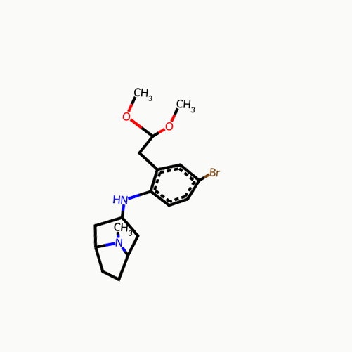 COC(Cc1cc(Br)ccc1NC1CC2CCC(C1)N2C)OC